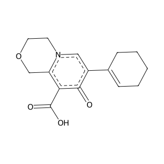 O=C(O)c1c2n(cc(C3=CCCCC3)c1=O)CCOC2